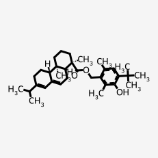 Cc1cc(C(C)(C)C)c(O)c(C)c1COC(=O)[C@]1(C)CCC[C@@]2(C)[C@H]1CC=C1C=C(C(C)C)CC[C@@H]12